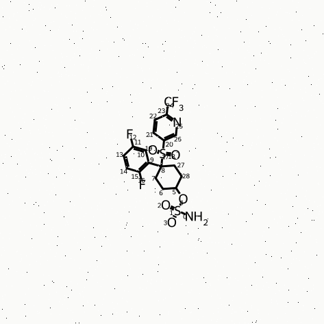 NS(=O)(=O)OC1CCC(c2cc(F)ccc2F)(S(=O)(=O)c2ccc(C(F)(F)F)nc2)CC1